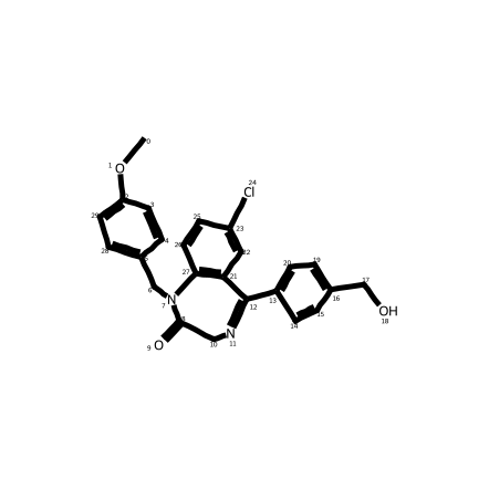 COc1ccc(CN2C(=O)CN=C(c3ccc(CO)cc3)c3cc(Cl)ccc32)cc1